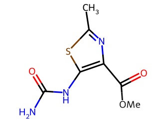 COC(=O)c1nc(C)sc1NC(N)=O